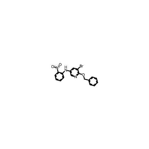 O=[N+]([O-])c1ccccc1Nc1cnc(OCc2ccccc2)c(Br)c1